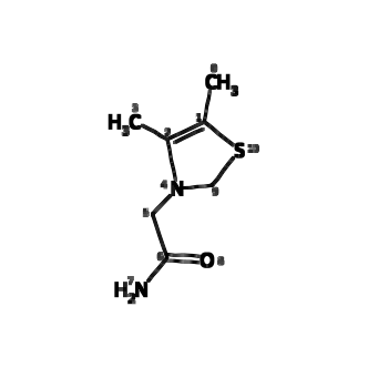 CC1=C(C)N(CC(N)=O)CS1